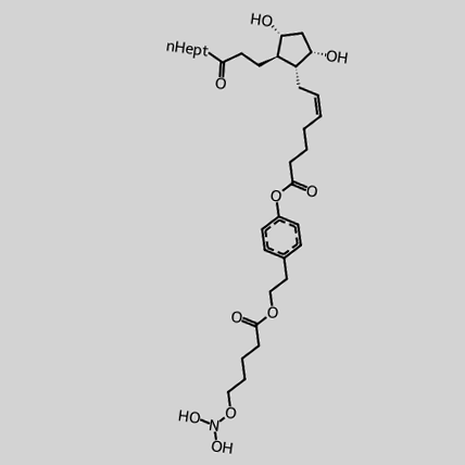 CCCCCCCC(=O)CC[C@@H]1[C@@H](C/C=C\CCCC(=O)Oc2ccc(CCOC(=O)CCCCON(O)O)cc2)[C@@H](O)C[C@H]1O